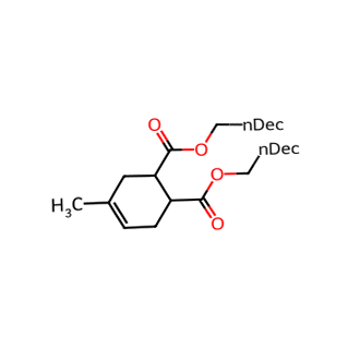 CCCCCCCCCCCOC(=O)C1CC=C(C)CC1C(=O)OCCCCCCCCCCC